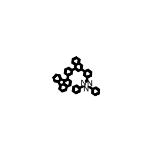 c1ccc(-c2nc(-c3ccccc3)nc(-c3cccc(-c4cc(-c5cccc(-c6ccc7cccc8c7c6-c6ccccc6-8)c5)c5ccccc5c4)c3)n2)cc1